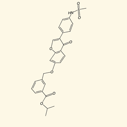 CC(C)OC(=O)c1cccc(COc2ccc3c(=O)c(-c4ccc(NS(C)(=O)=O)cc4)coc3c2)c1